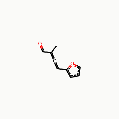 CC(=C=Cc1ccco1)C=O